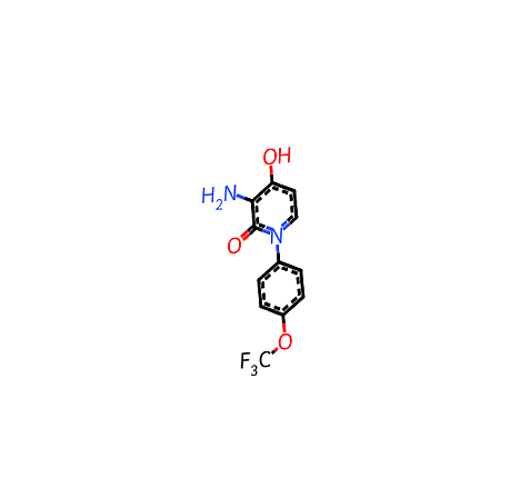 Nc1c(O)ccn(-c2ccc(OC(F)(F)F)cc2)c1=O